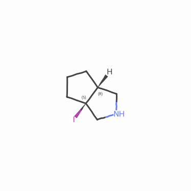 I[C@@]12CCC[C@@H]1CNC2